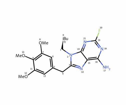 CC[C@H](C)Cn1c(Cc2cc(OC)c(OC)c(OC)c2)nc2c(N)nc(F)nc21